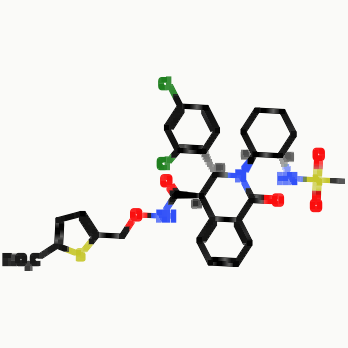 CCOC(=O)c1ccc(CONC(=O)[C@@H]2c3ccccc3C(=O)N([C@H]3CCCC[C@@H]3NS(C)(=O)=O)[C@H]2c2ccc(Cl)cc2Cl)s1